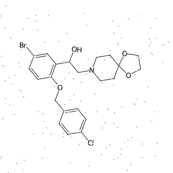 OC(CN1CCC2(CC1)OCCO2)c1cc(Br)ccc1OCc1ccc(Cl)cc1